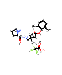 CC(C)c1cccc(C(C)C)c1OC(=O)CC(C)(C)CNC(=O)[C@@H]1CCCN1.O=C(O)C(F)(F)F